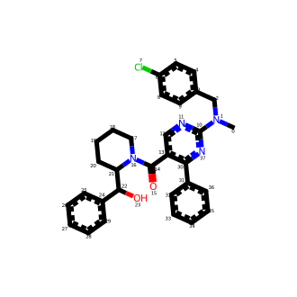 CN(Cc1ccc(Cl)cc1)c1ncc(C(=O)N2CCCCC2C(O)c2ccccc2)c(-c2ccccc2)n1